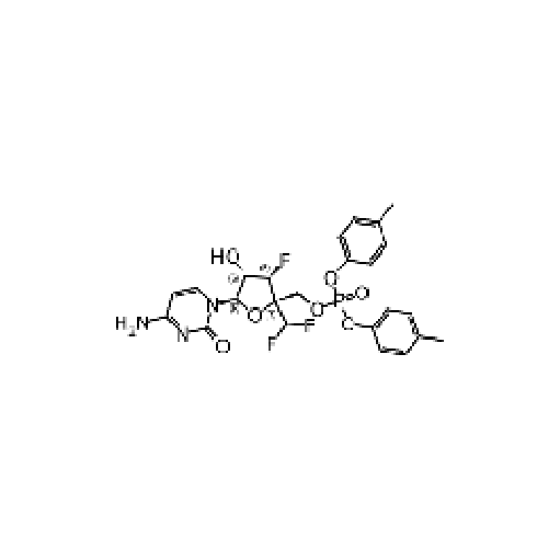 Cc1ccc(OP(=O)(OC[C@@]2(C(F)F)O[C@@H](n3ccc(N)nc3=O)[C@H](O)[C@H]2F)Oc2ccc(C)cc2)cc1